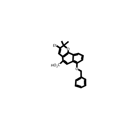 CCC1=Cc2c(C(=O)O)cc3c(OCc4ccccc4)cccc3c2OC1(C)C